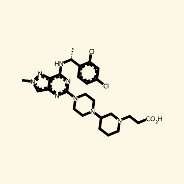 C[C@@H](Nc1nc(N2CCN(C3CCCN(CCC(=O)O)C3)CC2)nc2cn(C)nc12)c1ccc(Cl)cc1Cl